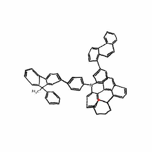 CC1(c2ccccc2)c2ccccc2-c2ccc(-c3ccc(N(c4cccc(-c5cccc6c5ccc5ccccc56)c4)c4ccccc4-c4cccc5cccc(C6CCCCC6)c45)cc3)cc21